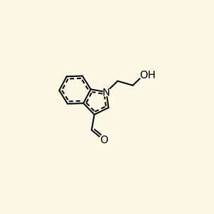 O=Cc1cn(CCO)c2ccccc12